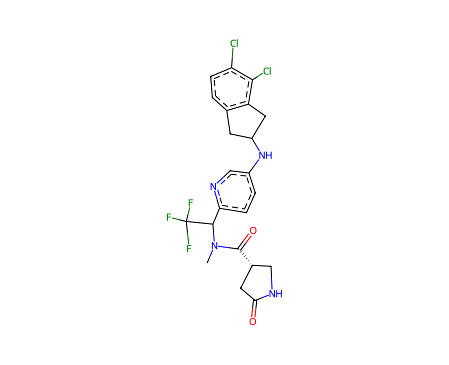 CN(C(=O)[C@@H]1CNC(=O)C1)C(c1ccc(NC2Cc3ccc(Cl)c(Cl)c3C2)cn1)C(F)(F)F